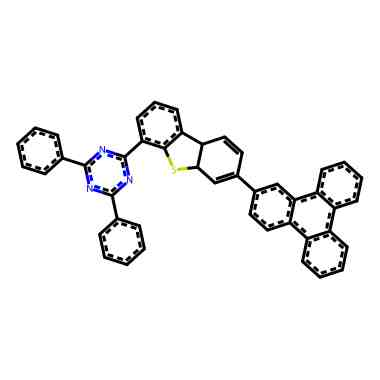 C1=CC2c3cccc(-c4nc(-c5ccccc5)nc(-c5ccccc5)n4)c3SC2C=C1c1ccc2c3ccccc3c3ccccc3c2c1